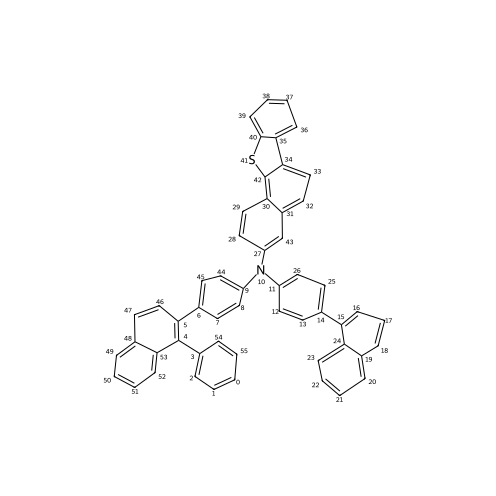 c1ccc(-c2c(-c3ccc(N(c4ccc(-c5cccc6ccccc56)cc4)c4ccc5c(ccc6c7ccccc7sc56)c4)cc3)ccc3ccccc23)cc1